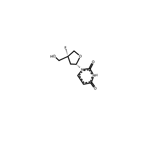 O=c1ccn([C@@H]2C[C@@](F)(CO)CO2)c(=O)[nH]1